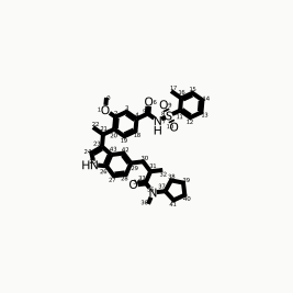 COc1cc(C(=O)NS(=O)(=O)c2ccccc2C)ccc1C(C)c1c[nH]c2ccc(CC(C)C(=O)N(C)C3CCCC3)cc12